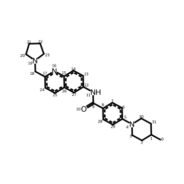 CC1CCN(c2ccc(C(=O)Nc3ccc4nc(CN5CCCC5)ccc4c3)cc2)CC1